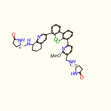 COc1nc(-c2cccc(-c3cccc(-c4cnc5c(c4)CCCC5NC[C@@H]4CCC(=O)N4)c3Cl)c2Cl)ccc1CNC[C@@H]1CCC(=O)N1